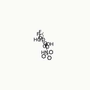 CC(CC(=O)O[C@@H](CO)COP(=O)(O)OCCNC(c1ccccc1)(c1ccccc1)c1ccccc1)C(F)(F)F